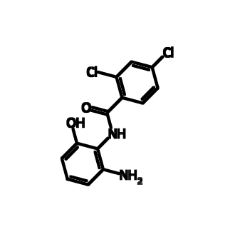 Nc1cccc(O)c1NC(=O)c1ccc(Cl)cc1Cl